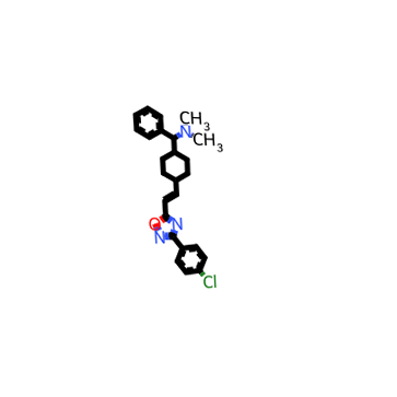 CN(C)C(c1ccccc1)C1CCC(C=Cc2nc(-c3ccc(Cl)cc3)no2)CC1